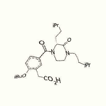 CC(C)CC[C@@H]1C(=O)N(CCC(C)C)CCN1C(=O)c1ccc(OCC(C)C)c(CC(=O)O)c1